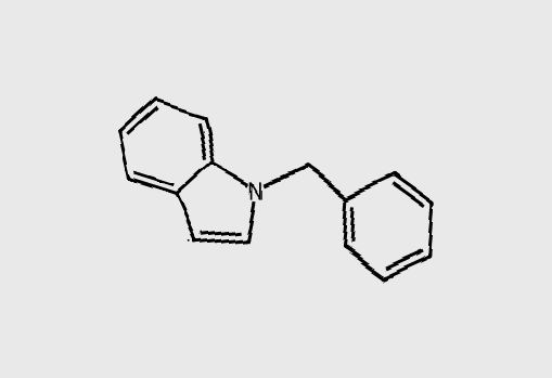 [c]1cn(Cc2ccccc2)c2ccccc12